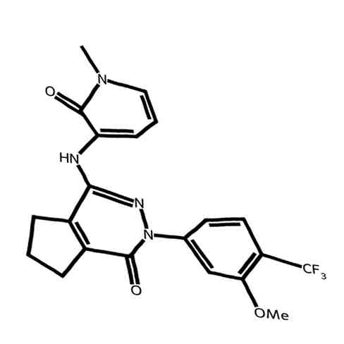 COc1cc(-n2nc(Nc3cccn(C)c3=O)c3c(c2=O)CCC3)ccc1C(F)(F)F